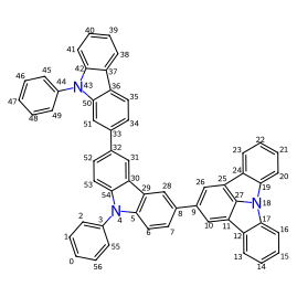 c1ccc(-n2c3ccc(-c4cc5c6ccccc6n6c7ccccc7c(c4)c56)cc3c3cc(-c4ccc5c6ccccc6n(-c6ccccc6)c5c4)ccc32)cc1